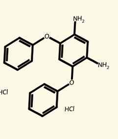 Cl.Cl.Nc1cc(N)c(Oc2ccccc2)cc1Oc1ccccc1